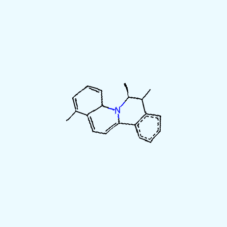 CC1=CC=CC2C1=CC=C1c3ccccc3C(C)[C@H](C)N12